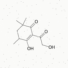 CC1CC(C)(C)C(=O)C(C(=O)CO)=C1O